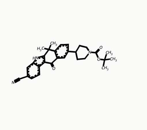 CC(C)(C)OC(=O)N1CCC(c2ccc3c(c2)C(=O)c2c([nH]c4cc(C#N)ccc24)C3(C)C)CC1